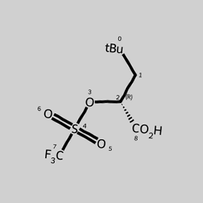 CC(C)(C)C[C@@H](OS(=O)(=O)C(F)(F)F)C(=O)O